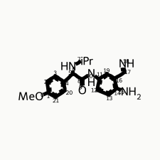 COc1ccc(C(NC(C)C)C(=O)Nc2ccc(N)c(C=N)c2)cc1